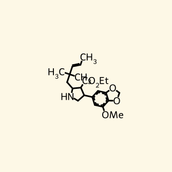 CC=CC(C)(C)CC1NCC(c2cc(OC)c3c(c2)OCO3)C1C(=O)OCC